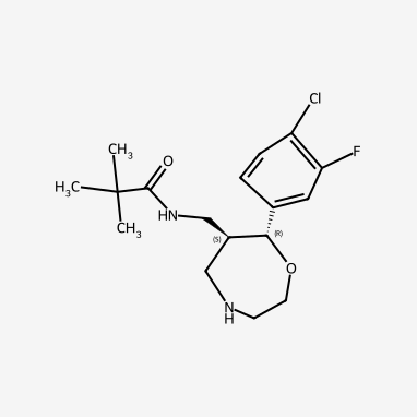 CC(C)(C)C(=O)NC[C@@H]1CNCCO[C@H]1c1ccc(Cl)c(F)c1